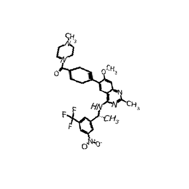 COc1cc2nc(C)nc(N[C@H](C)c3cc([N+](=O)[O-])cc(C(F)(F)F)c3)c2cc1C1=CCC(C(=O)N2CCN(C)CC2)CC1